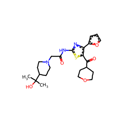 CC(C)(O)C1CCN(CC(=O)Nc2nc(-c3ccco3)c(C(=O)C3CCOCC3)s2)CC1